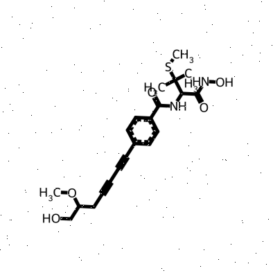 COC(CO)CC#CC#Cc1ccc(C(=O)NC(C(=O)NO)C(C)(C)SC)cc1